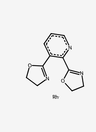 [Rh].c1cnc(C2=NCCO2)c(C2=NCCO2)c1